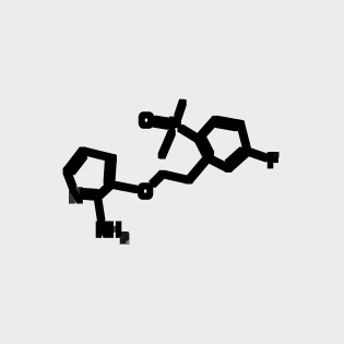 CP(C)(=O)c1ccc(F)cc1CCOc1cccnc1N